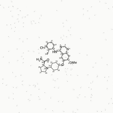 COc1cc2ncnc(Nc3cccc(Cl)c3F)c2cc1OC1CCC(N2CCC[C@H]2C(N)=O)CC1